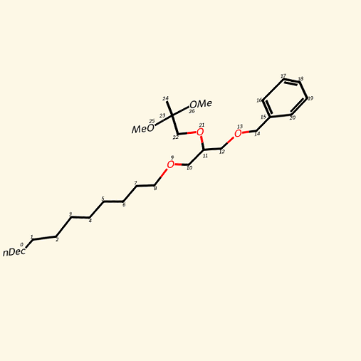 CCCCCCCCCCCCCCCCCCOCC(COCc1ccccc1)OCC(C)(OC)OC